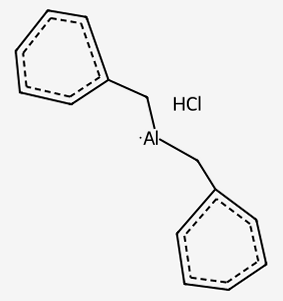 Cl.c1ccc([CH2][Al][CH2]c2ccccc2)cc1